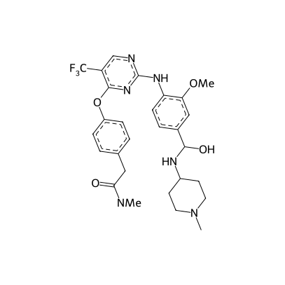 CNC(=O)Cc1ccc(Oc2nc(Nc3ccc(C(O)NC4CCN(C)CC4)cc3OC)ncc2C(F)(F)F)cc1